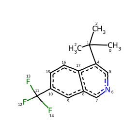 CC(C)(C)c1cncc2cc(C(F)(F)F)ccc12